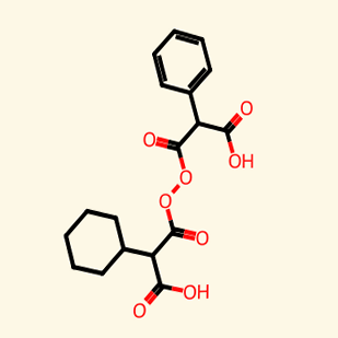 O=C(O)C(C(=O)OOC(=O)C(C(=O)O)C1CCCCC1)c1ccccc1